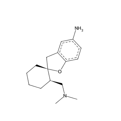 CN(C)C[C@H]1CCCC[C@]12Cc1cc(N)ccc1O2